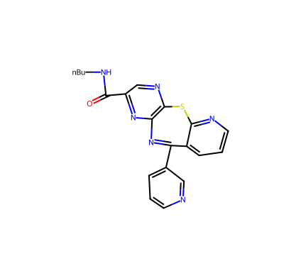 CCCCNC(=O)c1cnc2c(n1)N=C(c1cccnc1)c1cccnc1S2